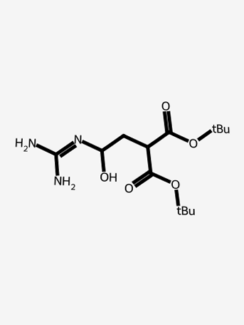 CC(C)(C)OC(=O)C(CC(O)N=C(N)N)C(=O)OC(C)(C)C